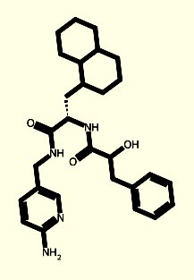 Nc1ccc(CNC(=O)[C@H](CC2CCCC3CCCCC32)NC(=O)C(O)Cc2ccccc2)cn1